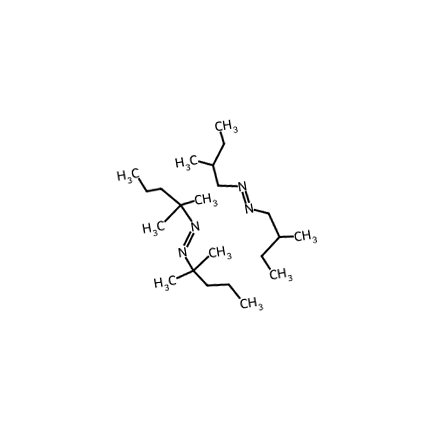 CCC(C)C/N=N/CC(C)CC.CCCC(C)(C)/N=N/C(C)(C)CCC